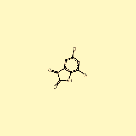 O=C1Nc2c(Br)cc(Cl)cc2C1=O